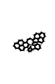 C1=Cc2c(cc3ccc4cccc5ccc2c3c45)[Si]2(c3ccccc3-c3ccccc32)c2cc3ccc4cccc5ccc(c21)c3c45